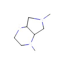 CN1CC2NCCN(C)C2C1